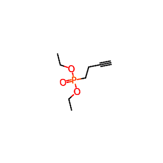 C#CCCP(=O)(OCC)OCC